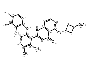 CO[C@H]1C[C@H](Oc2nccc3[nH]c(-c4c(Oc5ccc(F)c(F)c5C)ncc(C(F)(F)F)c4C)cc(=O)c23)C1